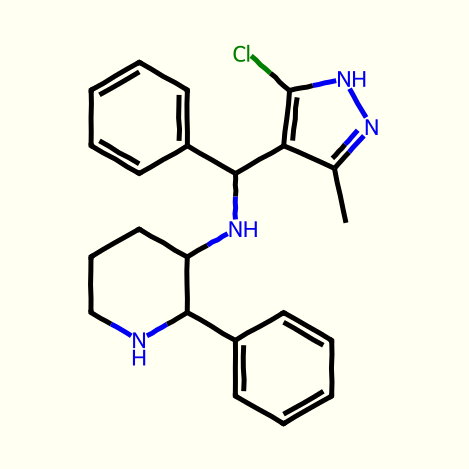 Cc1n[nH]c(Cl)c1C(NC1CCCNC1c1ccccc1)c1ccccc1